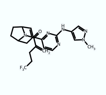 C=C(CCC(F)(F)F)C(=O)N1C2C=C(c3ccnc(Nc4cnn(C)c4)n3)CC1CC2